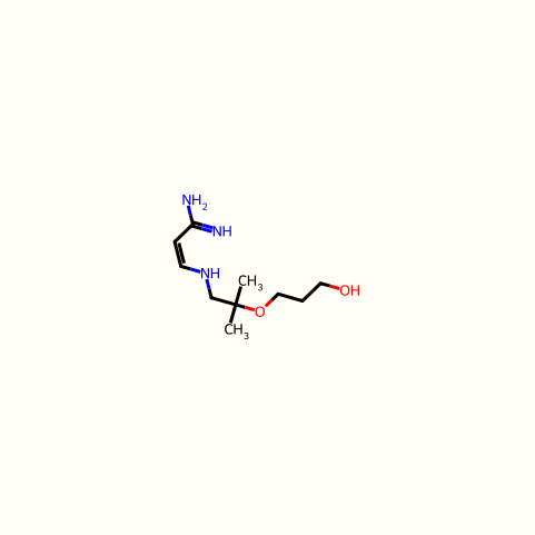 CC(C)(CN/C=C\C(=N)N)OCCCO